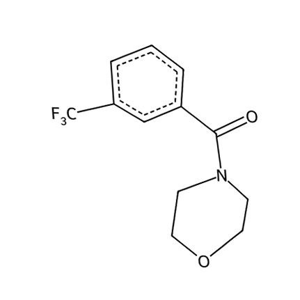 O=C(c1cccc(C(F)(F)F)c1)N1CCOCC1